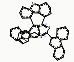 N/C(=N\C(=N/CC1C=CC=CC1)c1cc2ccccc2c2ccccc12)c1cccc2oc3cccc(-c4cccc5oc6ccccc6c45)c3c12